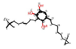 CCC(C)(C)CCCCCCc1c(O)c(O)cc(CCCCCCC2(C)CC2)c1O